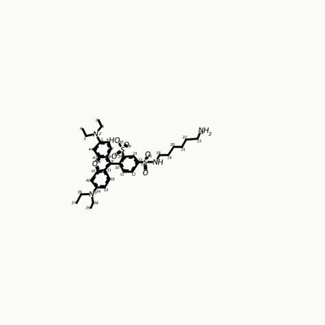 CCN(CC)c1ccc2c(-c3ccc(S(=O)(=O)NCCCCCCN)cc3S(=O)(=O)O)c3ccc(N(CC)CC)cc3[o+]c2c1